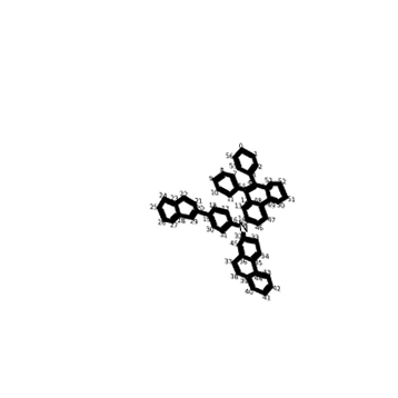 c1ccc(-c2c(-c3ccccc3)c3cc(N(c4ccc(-c5ccc6ccccc6c5)cc4)c4ccc5c(ccc6ccccc65)c4)ccc3c3ccccc23)cc1